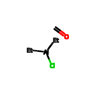 C=O.C[CH2][Al]([Cl])[CH2]C